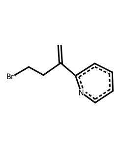 C=C(CCBr)c1ccccn1